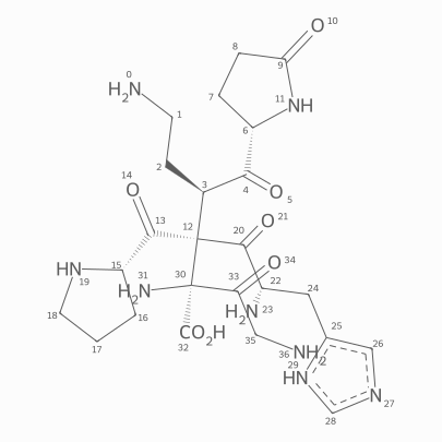 NCC[C@@H](C(=O)[C@@H]1CCC(=O)N1)[C@@](C(=O)[C@@H]1CCCN1)(C(=O)[C@@H](N)Cc1cnc[nH]1)[C@@](N)(C(=O)O)C(=O)CN